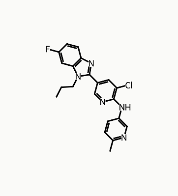 CCCn1c(-c2cnc(Nc3ccc(C)nc3)c(Cl)c2)nc2ccc(F)cc21